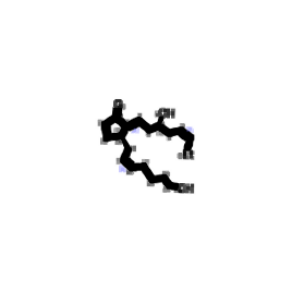 CC/C=C\C[C@H](O)C/C=C1/C(=O)C=C[C@@H]1C/C=C\CCCCO